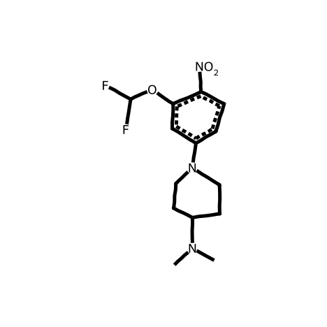 CN(C)C1CCN(c2ccc([N+](=O)[O-])c(OC(F)F)c2)CC1